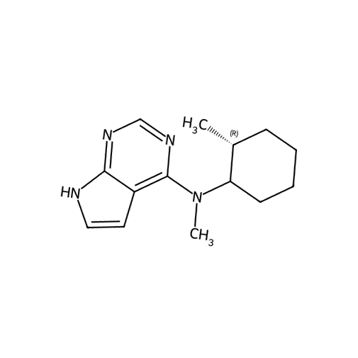 C[C@@H]1CCCCC1N(C)c1ncnc2[nH]ccc12